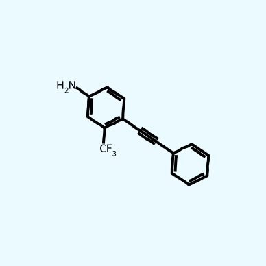 Nc1ccc(C#Cc2ccccc2)c(C(F)(F)F)c1